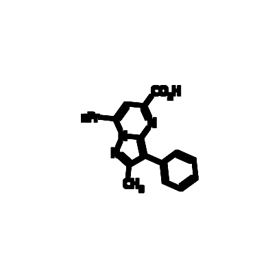 CCCc1cc(C(=O)O)nc2c(-c3ccccc3)c(C)nn12